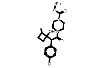 CC(C)(C)OC(=O)N1CCN(C(=O)C(c2ccc(Cl)cc2)C2(O)CCC2I)CC1